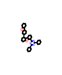 c1ccc(-c2nc(-c3ccccc3)nc(-c3cccc4c3oc3cccc(-c5ccc6c(c5)oc5ccccc56)c34)n2)cc1